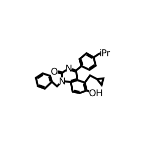 CC(C)c1ccc(-c2nc(=O)n(Cc3ccccc3)c3ccc(O)c(CC4CC4)c23)cc1